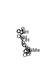 CNS(=O)(=O)c1c(OC2CCN(C[C@H](O)CNC(=O)c3c[nH]c(=O)c4ccccc34)CC2)ccc(Cl)c1Cl